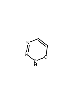 B1N=NC=CO1